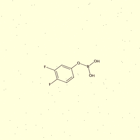 OB(O)Oc1ccc(F)c(F)c1